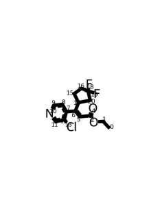 CCOC(=O)/C=C(/c1ccncc1Cl)C1CCC(F)(F)C1